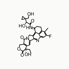 CC[C@@]1(O)C(=O)OCc2c1cc1n(c2=O)Cc2c-1nc1cc(F)c(C)c3c1c2[C@@H](NC(=O)C(O)C1(CO)CC1)CC3